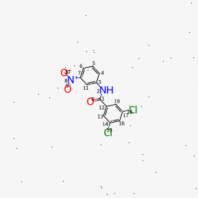 O=C(Nc1cccc([N+](=O)[O-])c1)c1cc(Cl)cc(Cl)c1